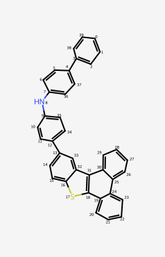 c1ccc(-c2ccc(Nc3ccc(-c4ccc5sc6c7ccccc7c7ccccc7c6c5c4)cc3)cc2)cc1